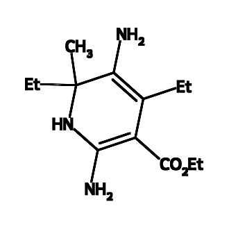 CCOC(=O)C1=C(N)NC(C)(CC)C(N)=C1CC